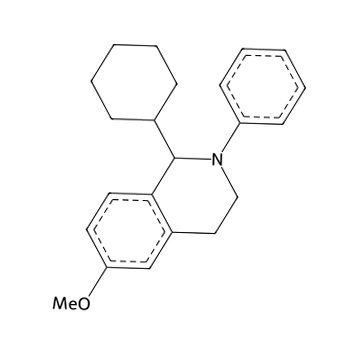 COc1ccc2c(c1)CCN(c1ccccc1)C2C1CCCCC1